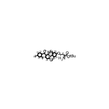 CC(C)(C)OC(=O)[C@@H](N)CCOc1cc(F)c(-n2c(N)c(C(=O)c3ccc(I)cc3F)ccc2=O)c(F)c1